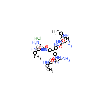 Cc1ccc2[nH]c(C)c(CC(=O)N[C@H](CCCCN)C(=O)Nc3ccc(C(c4ccc(NC(=O)[C@@H](CCCCN)NC(=O)Cc5c(C)[nH]c6ccc(C)cc56)cc4)c4ccc(NC(=O)[C@@H](CCCCN)NC(=O)Cc5c(C)[nH]c6ccc(C)cc56)cc4)cc3)c2c1.Cl